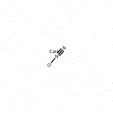 N#[N+][O-].[CaH2]